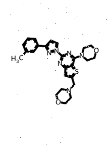 Cc1cccc(-c2ccn(-c3nc(N4CCOCC4)c4sc(CN5CCOCC5)cc4n3)n2)c1